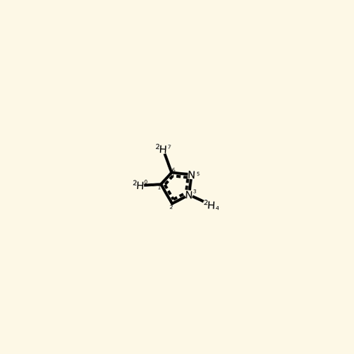 [2H]c1cn([2H])nc1[2H]